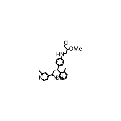 COC(CCl)CNc1ccc([C@@H](C/C(=N\O)c2ccnc(C)c2)c2ccccc2C)cc1